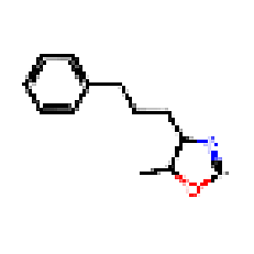 CC1O[C]=NC1CCCc1ccccc1